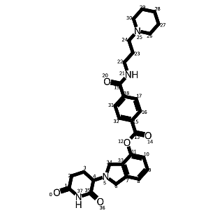 O=C1CCC(N2Cc3cccc(OC(=O)c4ccc(C(=O)NCCCN5CCCCC5)cc4)c3C2)C(=O)N1